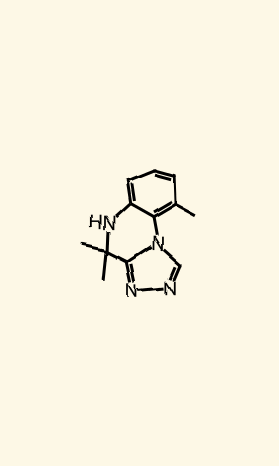 Cc1cccc2c1-n1cnnc1C(C)(C)N2